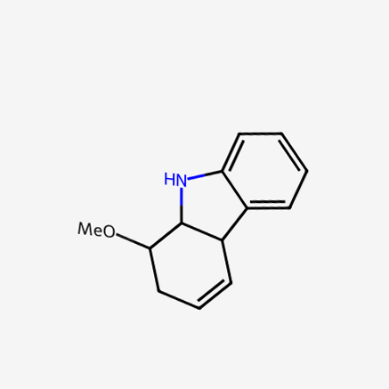 COC1CC=CC2c3ccccc3NC12